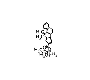 CC1(C)OB(c2ccc3c(c2)S(C)(C)c2c-3ccc3ccccc23)OC1(C)C